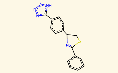 c1ccc(C2=NC(c3ccc(-c4nnn[nH]4)cc3)CS2)cc1